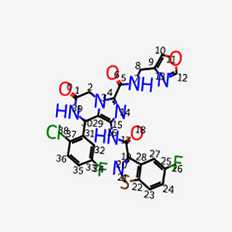 O=C1Cn2c(C(=O)NCc3cocn3)nc(NC(=O)c3nsc4ccc(F)cc34)c2C(c2cc(F)ccc2Cl)N1